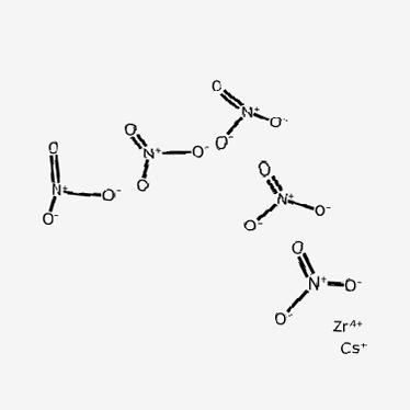 O=[N+]([O-])[O-].O=[N+]([O-])[O-].O=[N+]([O-])[O-].O=[N+]([O-])[O-].O=[N+]([O-])[O-].[Cs+].[Zr+4]